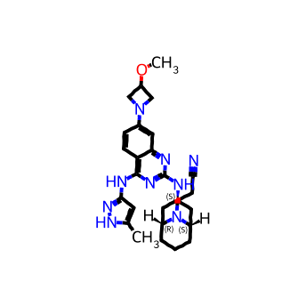 COC1CN(c2ccc3c(Nc4cc(C)[nH]n4)nc(N[C@@H]4C[C@H]5CCC[C@@H](C4)N5CCC#N)nc3c2)C1